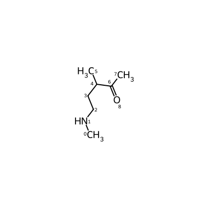 CNCCC(C)C(C)=O